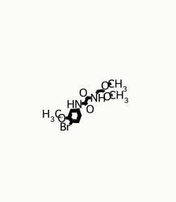 COc1cc(NC(=O)C(=O)NCC(OC)OC)ccc1Br